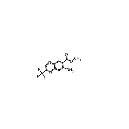 COC(=O)c1cc2ncc(C(F)(F)F)nc2cc1N